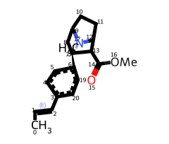 C/C=C/c1ccc([C@H]2CC3CCC(C2C(=O)OC)N3C)cc1